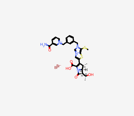 CSc1c2sc(C3=C(C(=O)O)N4C(=O)[C@H]([C@@H](C)O)[C@@H]4[C@H]3C)c[n+]2cn1Cc1cccc(C[n+]2cccc(C(N)=O)c2)c1.[Br-].[Br-]